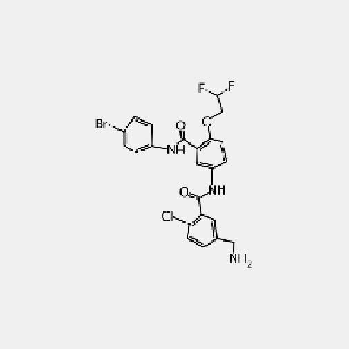 NCc1ccc(Cl)c(C(=O)Nc2ccc(OCC(F)F)c(C(=O)Nc3ccc(Br)cc3)c2)c1